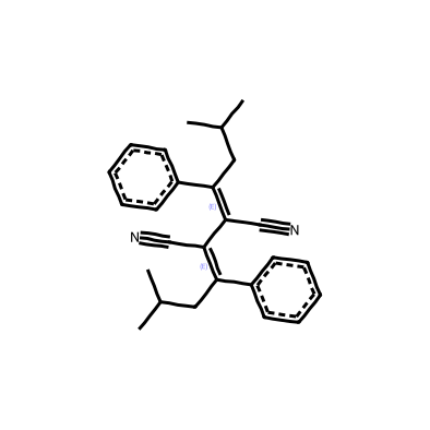 CC(C)C/C(=C(C#N)/C(C#N)=C(/CC(C)C)c1ccccc1)c1ccccc1